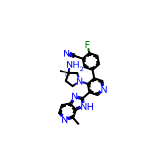 Cc1nccc2nc(-c3cncc(-c4ccc(F)c(C#N)c4)c3N3CC[C@](C)(N)C3)[nH]c12